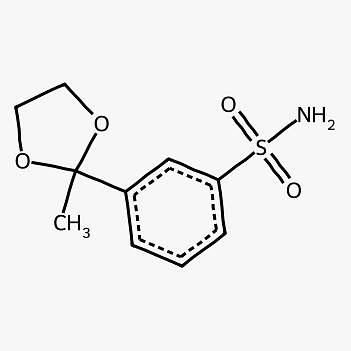 CC1(c2cccc(S(N)(=O)=O)c2)OCCO1